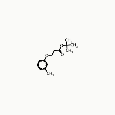 Cc1cccc(OCCC(=O)OC(C)(C)C)c1